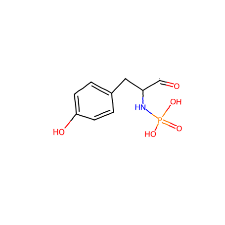 O=[C]C(Cc1ccc(O)cc1)NP(=O)(O)O